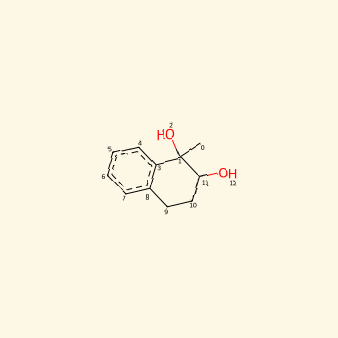 CC1(O)c2ccccc2CCC1O